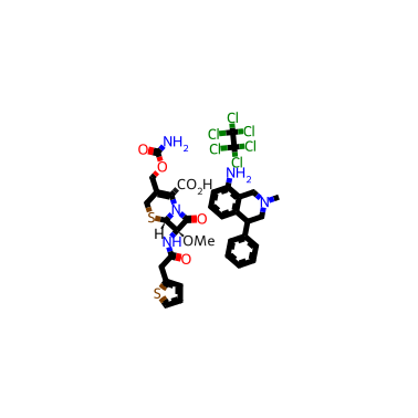 CN1Cc2c(N)cccc2C(c2ccccc2)C1.CO[C@@]1(NC(=O)Cc2cccs2)C(=O)N2C(C(=O)O)=C(COC(N)=O)CS[C@@H]21.ClC(Cl)(Cl)C(Cl)(Cl)Cl